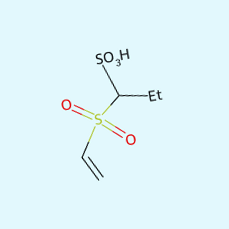 [CH2]CC(S(=O)(=O)O)S(=O)(=O)C=C